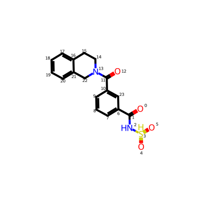 O=C(N[SH](=O)=O)c1cc[c]c(C(=O)N2CCc3ccccc3C2)c1